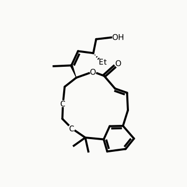 CC[C@H](/C=C(/C)[C@@H]1CCCCC(C)(C)c2cccc(c2)C/C=C/C(=O)O1)CO